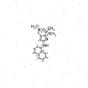 CCCc1sc(Nc2cccc3ccccc23)nc1C(C)(C)C